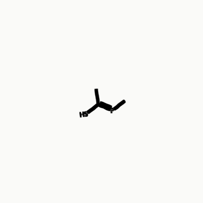 C/P=C(\C)S